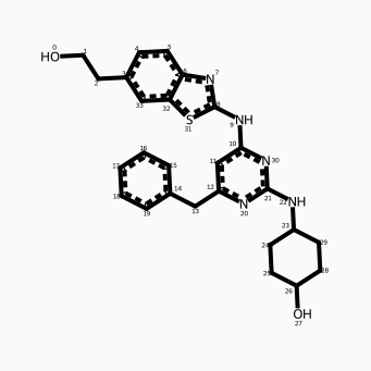 OCCc1ccc2nc(Nc3cc(Cc4ccccc4)nc(NC4CCC(O)CC4)n3)sc2c1